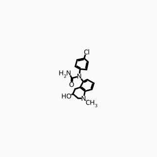 CN1CC(O)Cc2c1cccc2N(C(N)=O)c1ccc(Cl)cc1